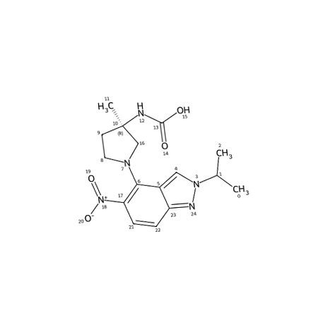 CC(C)n1cc2c(N3CC[C@@](C)(NC(=O)O)C3)c([N+](=O)[O-])ccc2n1